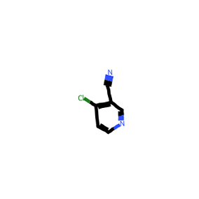 N#Cc1cn[c]cc1Cl